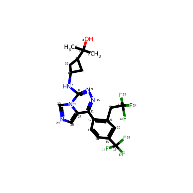 CC(C)(O)C1CC(Nc2nnc(-c3ccc(C(F)(F)F)cc3CC(F)(F)F)c3cncn23)C1